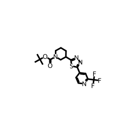 CC(C)(C)OC(=O)N1CCCC(c2nnc(-c3ccnc(C(F)(F)F)c3)s2)C1